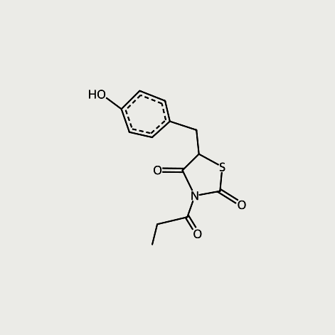 CCC(=O)N1C(=O)SC(Cc2ccc(O)cc2)C1=O